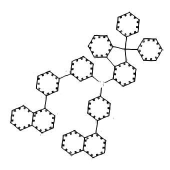 c1ccc(C2(c3ccccc3)c3ccccc3-c3c(N(c4ccc(-c5cccc6ccccc56)cc4)c4cccc(-c5cccc(-c6cccc7ccccc67)c5)c4)cccc32)cc1